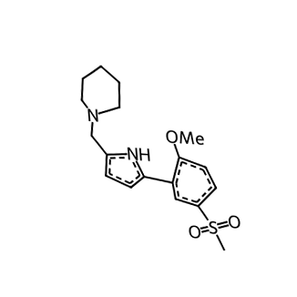 COc1ccc(S(C)(=O)=O)cc1-c1ccc(CN2CCCCC2)[nH]1